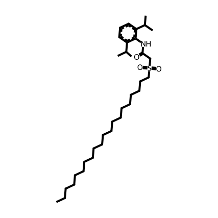 CCCCCCCCCCCCCCCCCCCCS(=O)(=O)CC(=O)Nc1c(C(C)C)cccc1C(C)C